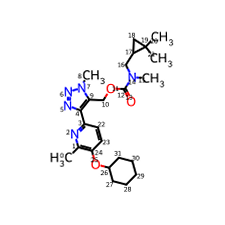 Cc1nc(-c2nnn(C)c2COC(=O)N(C)CC2CC2(C)C)ccc1OC1CCCCC1